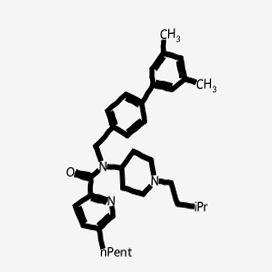 CCCCCc1ccc(C(=O)N(Cc2ccc(-c3cc(C)cc(C)c3)cc2)C2CCN(CCC(C)C)CC2)nc1